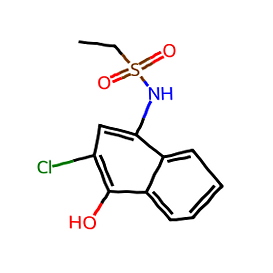 CCS(=O)(=O)Nc1cc(Cl)c(O)c2ccccc12